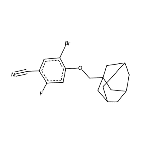 N#Cc1cc(Br)c(OCC23CC4CC(CC(C4)C2)C3)cc1F